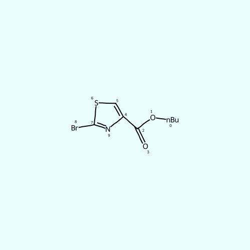 CCCCOC(=O)c1csc(Br)n1